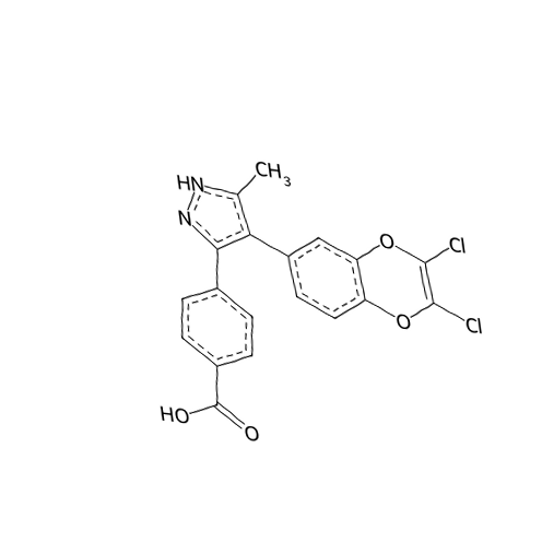 Cc1[nH]nc(-c2ccc(C(=O)O)cc2)c1-c1ccc2c(c1)OC(Cl)=C(Cl)O2